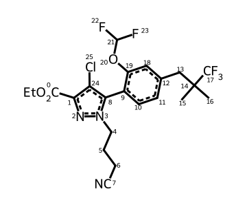 CCOC(=O)c1nn(CCCC#N)c(-c2ccc(CC(C)(C)C(F)(F)F)cc2OC(F)F)c1Cl